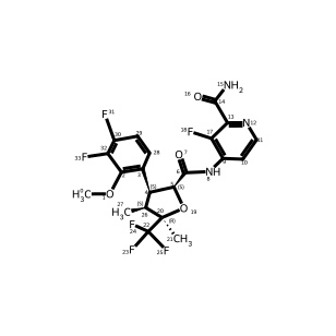 COc1c([C@H]2[C@@H](C(=O)Nc3ccnc(C(N)=O)c3F)O[C@@](C)(C(F)(F)F)[C@H]2C)ccc(F)c1F